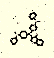 CN(c1ccccc1)c1ccc(C(=C2C=CC(=[N+](C)c3ccccc3)C=C2)c2coc3ccccc3c2=O)cc1.[Cl-]